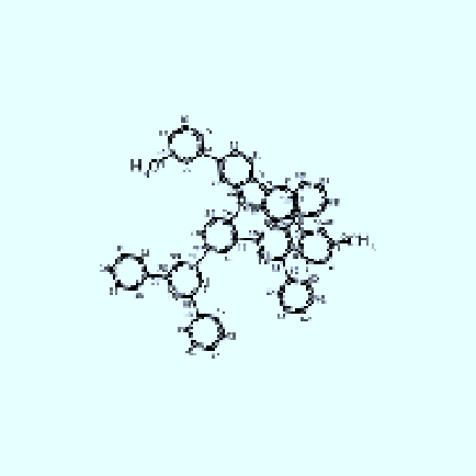 Cc1cccc(-c2ccc3c4ccc(-c5cccc(C)c5)cc4n(-c4ccc(-c5cc(-c6ccccc6)nc(-c6ccccc6)n5)cc4-c4nc(-c5ccccc5)cc(-c5ccccc5)n4)c3c2)c1